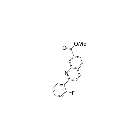 COC(=O)c1ccc2ccc(-c3ccccc3F)nc2c1